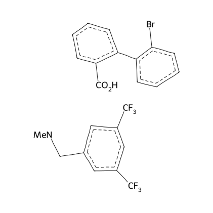 CNCc1cc(C(F)(F)F)cc(C(F)(F)F)c1.O=C(O)c1ccccc1-c1ccccc1Br